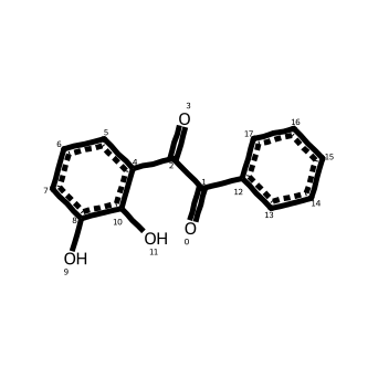 O=C(C(=O)c1cccc(O)c1O)c1ccccc1